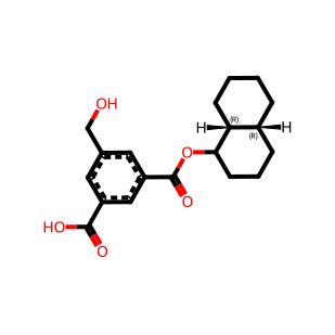 O=C(O)c1cc(CO)cc(C(=O)OC2CCC[C@H]3CCCC[C@@H]23)c1